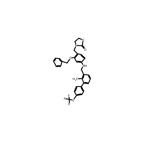 Cc1c(CNc2ccc(CN3CCOC3=O)c(OCc3ccccc3)c2)cccc1-c1ccc(OC(F)(F)F)cc1